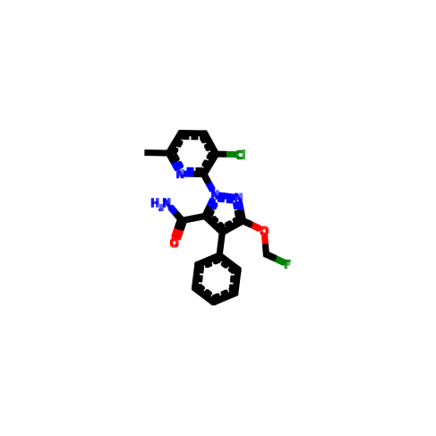 Cc1ccc(Cl)c(-n2nc(OCF)c(-c3ccccc3)c2C(N)=O)n1